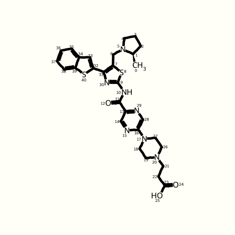 C[C@@H]1CCCN1Cc1sc(NC(=O)c2cnc(N3CCN(CCC(=O)O)CC3)cn2)nc1-c1cc2ccccc2s1